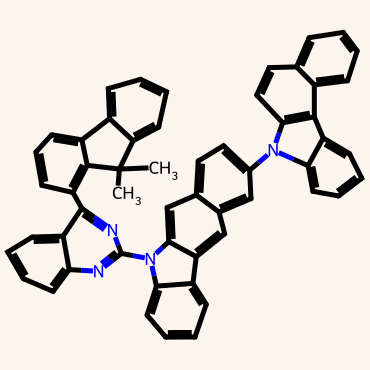 CC1(C)c2ccccc2-c2cccc(-c3nc(-n4c5ccccc5c5cc6cc(-n7c8ccccc8c8c9ccccc9ccc87)ccc6cc54)nc4ccccc34)c21